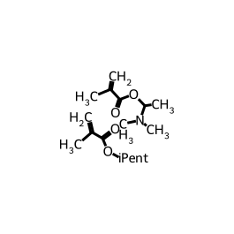 C=C(C)C(=O)OC(C)CCC.C=C(C)C(=O)OC(C)N(C)C